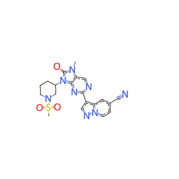 Cn1c(=O)n(C2CCCN(S(C)(=O)=O)C2)c2nc(-c3cnn4ccc(C#N)cc34)ncc21